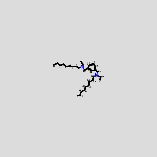 CCCCCCCCCN(CC)Cc1cccc(CN(CC)CCCCCCCCC)c1